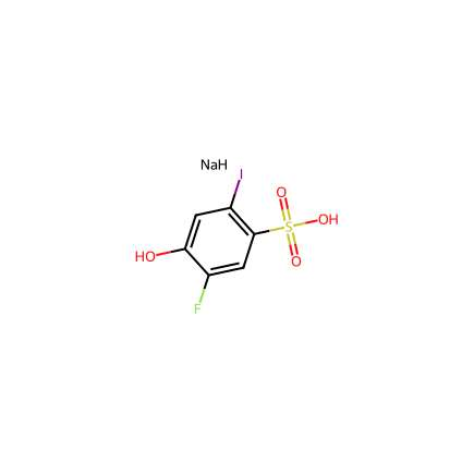 O=S(=O)(O)c1cc(F)c(O)cc1I.[NaH]